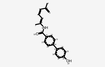 C=C(C)/C=C\C=C(/C)NC(=O)c1ccc(-c2ccc(O)cc2)cc1